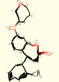 Cc1ccccc1-c1cc(=O)oc2cc(OC3CCCOC3)ccc12